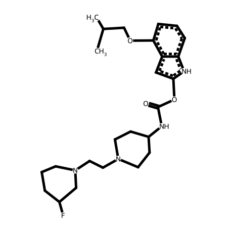 CC(C)COc1cccc2[nH]c(OC(=O)NC3CCN(CCN4CCCC(F)C4)CC3)cc12